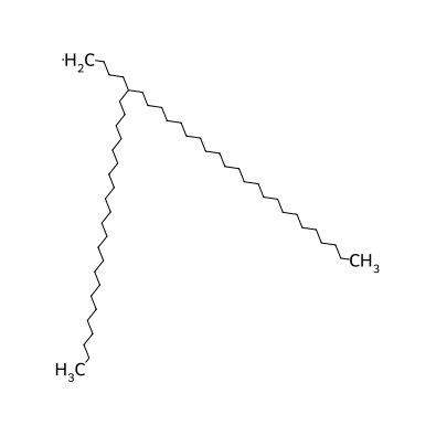 [CH2]CCCC(CCCCCCCCCCCCCCCCCCCCCCC)CCCCCCCCCCCCCCCCCCCCCCC